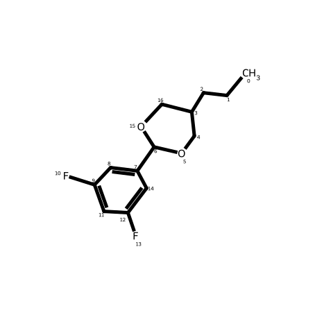 CCCC1COC(c2cc(F)cc(F)c2)OC1